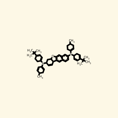 CC1C=CC(N(C2=CC=C(C(C)(C)C)CC2)C2C=CC3c4cc5ccc(N(C6=CCC(C)CC6)C6C=CC(C(C)(C)C)=CC6)cc5cc4OC3C2)=CC1